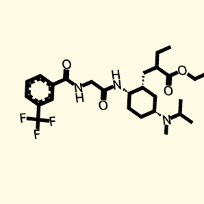 CCOC(=O)C(CC)C[C@@H]1C[C@H](N(C)C(C)C)CC[C@@H]1NC(=O)CNC(=O)c1cccc(C(F)(F)F)c1